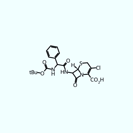 CC(C)(C)OC(=O)NC(C(=O)NC1C(=O)N2C(C(=O)O)=C(Cl)CS[C@@H]12)c1ccccc1